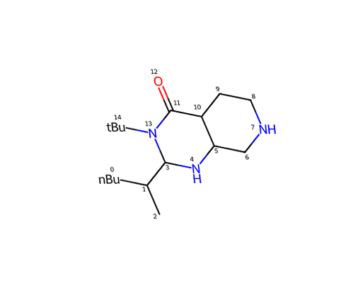 CCCCC(C)C1NC2CNCCC2C(=O)N1C(C)(C)C